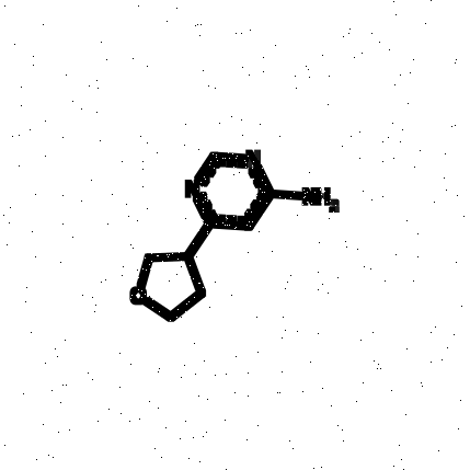 Nc1cc(C2CCOC2)ncn1